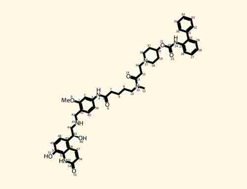 COc1cc(NC(=O)CCCCN(C)C(=O)CCN2CCC(OC(=O)Nc3ccccc3-c3ccccc3)CC2)ccc1CNC[C@@H](O)c1ccc(O)c2[nH]c(=O)ccc12